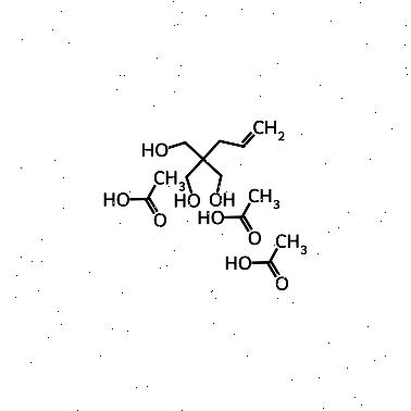 C=CCC(CO)(CO)CO.CC(=O)O.CC(=O)O.CC(=O)O